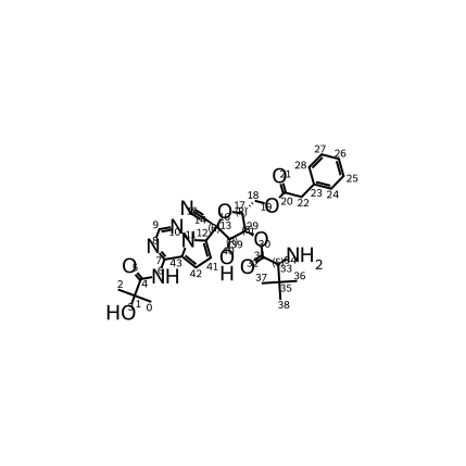 CC(C)(O)C(=O)Nc1ncnn2c([C@]3(C#N)O[C@H](COC(=O)Cc4ccccc4)[C@@H](OC(=O)[C@@H](N)C(C)(C)C)[C@H]3O)ccc12